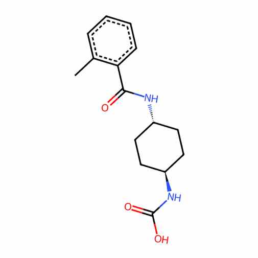 Cc1ccccc1C(=O)N[C@H]1CC[C@H](NC(=O)O)CC1